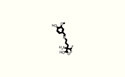 COc1cc(C=NCCCC(N)(C(=O)O)C(F)F)ccc1O